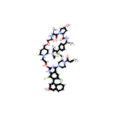 C=CC(=O)N1CCN(c2nc(OCCN3CCC(COCC(=O)N[C@H](C(=O)N4C[C@H](O)C[C@H]4C(=O)N[C@@H](C)c4ccc(-c5scnc5C)cc4)C(C)(C)C)CC3)nc3c(F)c(-c4cc(O)cc5ccccc45)c(Cl)cc23)C[C@@H]1CC#N